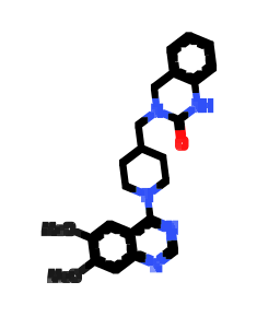 COc1cc2ncnc(N3CCC(CN4Cc5ccccc5NC4=O)CC3)c2cc1OC